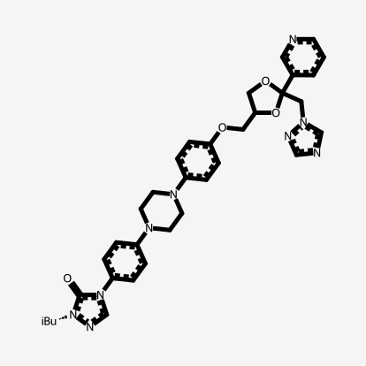 CC[C@@H](C)n1ncn(-c2ccc(N3CCN(c4ccc(OCC5COC(Cn6cncn6)(c6cccnc6)O5)cc4)CC3)cc2)c1=O